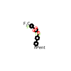 CCCCCC1CC=C(C2CCC(C(F)(F)OC3COC(c4ccc(C(F)(F)F)c(F)c4)OC3)CC2)CC1